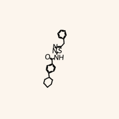 O=C(Nc1nnc(Cc2ccccc2)s1)c1ccc(C2CCCCC2)cc1